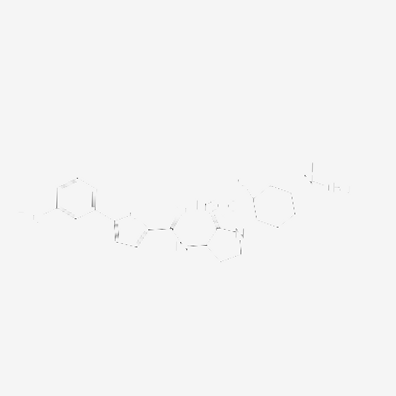 CC(C)(C)N[C@@H]1CC[C@H](N2CCC(NC(=O)c3ccc(-c4cccc(C(F)(F)F)c4)o3)C2=O)[C@](C)(C(=O)O)C1